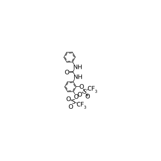 O=C(Nc1ccccc1)Nc1cccc(OS(=O)(=O)C(F)(F)F)c1OS(=O)(=O)C(F)(F)F